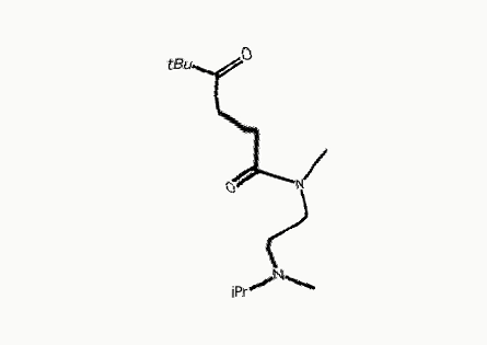 CC(C)N(C)CCN(C)C(=O)CCC(=O)C(C)(C)C